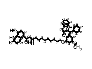 COc1cc(OCCCCCCCCCNC[C@H](O)c2ccc(O)c3[nH]c(=O)ccc23)cc(C(c2ccccc2)N(C(=O)O)[C@H]2CN3CCC2CC3)c1